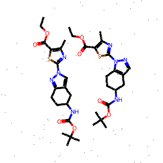 CCOC(=O)c1sc(-n2cc3c(n2)CCC(NC(=O)OC(C)(C)C)C3)nc1C.CCOC(=O)c1sc(-n2ncc3c2CCC(NC(=O)OC(C)(C)C)C3)nc1C